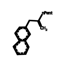 C=C(CCCCC)Cc1ccc2ccccc2c1